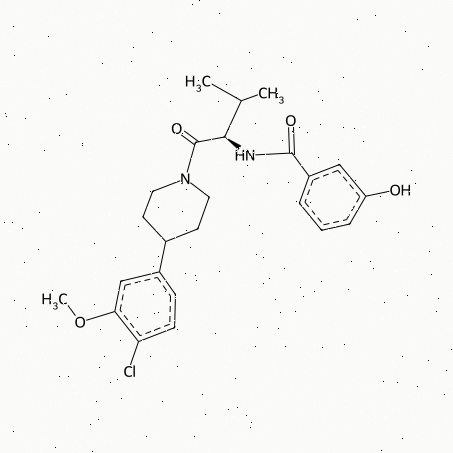 COc1cc(C2CCN(C(=O)[C@H](NC(=O)c3cccc(O)c3)C(C)C)CC2)ccc1Cl